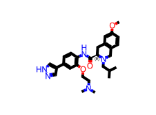 COc1ccc2c(c1)C[C@H](C(=O)Nc1ccc(-c3cn[nH]c3)cc1OCCN(C)C)N(CC(C)C)C2